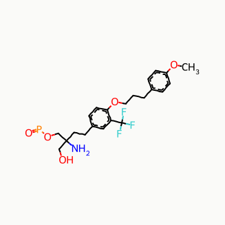 COc1ccc(CCCOc2ccc(CCC(N)(CO)COP=O)cc2C(F)(F)F)cc1